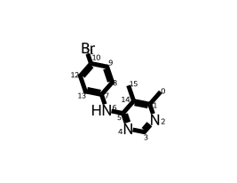 Cc1ncnc(Nc2ccc(Br)cc2)c1C